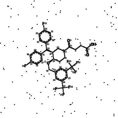 O=C(O)CCC(=O)N1CC[C@@H](OCc2cc(C(F)(F)F)cc(C(F)(F)F)c2)[C@@H](C(c2ccc(F)cc2)c2ccc(F)cc2)C1